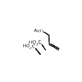 C=CCOC(C)=O.CC(=O)O.CC(=O)O